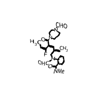 C\C=C(/C=C(C(=O)N1CCCN(C=O)CC1)\C(F)=C/C)CN(C=O)c1ccccc1C(=O)NC